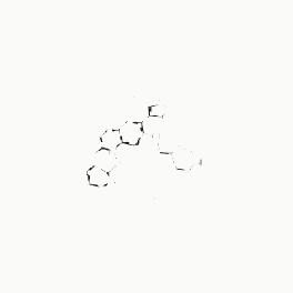 Cc1noc(C)c1-c1cc2ccc(=O)n(Cc3ccccn3)c2cc1OCC1CCNCC1.Cl